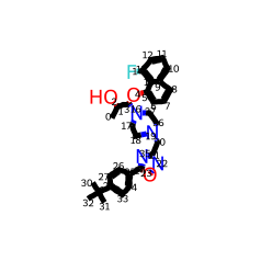 CC(O)C(Oc1cccc2cccc(F)c12)N1CCN(Cc2noc(-c3ccc(C(C)(C)C)cc3)n2)CC1